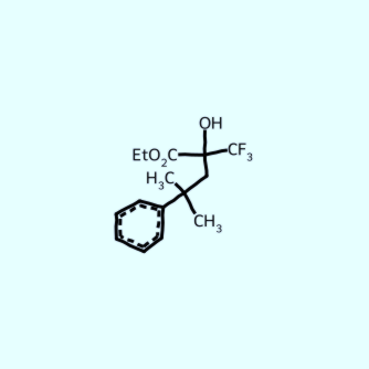 CCOC(=O)C(O)(CC(C)(C)c1ccccc1)C(F)(F)F